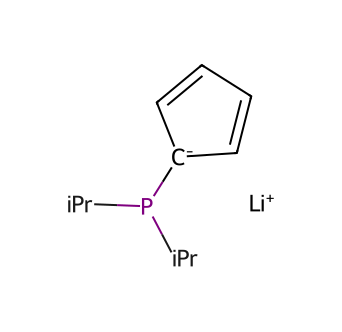 CC(C)P([c-]1cccc1)C(C)C.[Li+]